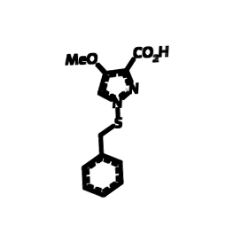 COc1cn(SCc2ccccc2)nc1C(=O)O